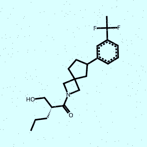 CCC[C@H](CO)C(=O)N1CC2(CCC(c3cccc(C(C)(F)F)c3)C2)C1